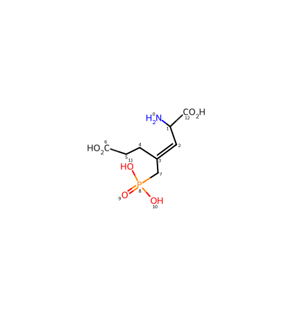 NC(/C=C(\CCC(=O)O)CP(=O)(O)O)C(=O)O